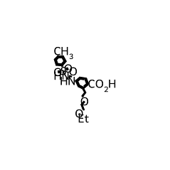 [CH2]COCCOCCc1cc(NC(=O)NS(=O)(=O)c2ccc(C)cc2)ccc1C(=O)O